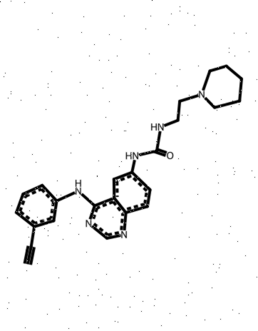 C#Cc1cccc(Nc2ncnc3ccc(NC(=O)NCCN4CCCCC4)cc23)c1